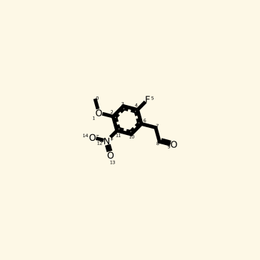 COc1cc(F)c(CC=O)cc1[N+](=O)[O-]